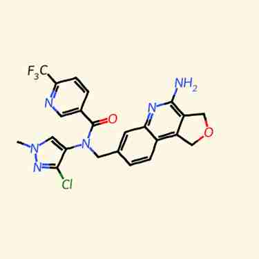 Cn1cc(N(Cc2ccc3c4c(c(N)nc3c2)COC4)C(=O)c2ccc(C(F)(F)F)nc2)c(Cl)n1